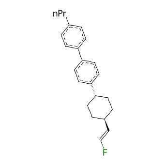 CCCc1ccc(-c2ccc([C@H]3CC[C@H](C=CF)CC3)cc2)cc1